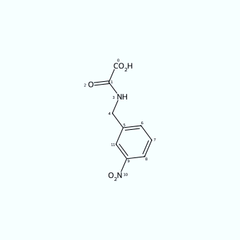 O=C(O)C(=O)NCc1cccc([N+](=O)[O-])c1